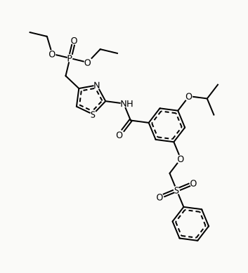 CCOP(=O)(Cc1csc(NC(=O)c2cc(OCS(=O)(=O)c3ccccc3)cc(OC(C)C)c2)n1)OCC